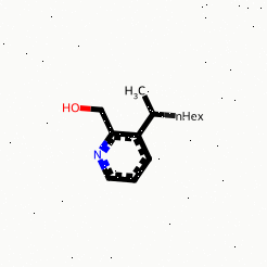 CCCCCCC(C)c1cccnc1CO